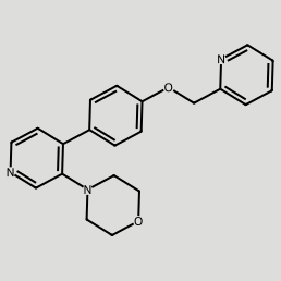 c1ccc(COc2ccc(-c3ccncc3N3CCOCC3)cc2)nc1